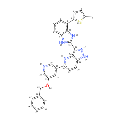 Cc1ccc(-c2cccc3[nH]c(-c4n[nH]c5ccc(-c6cncc(OCc7ccccc7)c6)nc45)nc23)s1